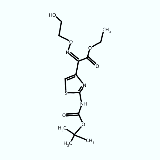 CCOC(=O)/C(=N\OCCO)c1csc(NC(=O)OC(C)(C)C)n1